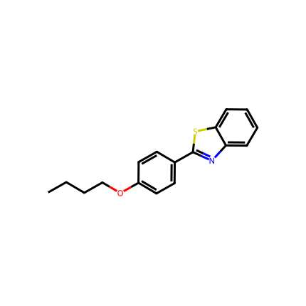 CCCCOc1ccc(-c2nc3ccccc3s2)cc1